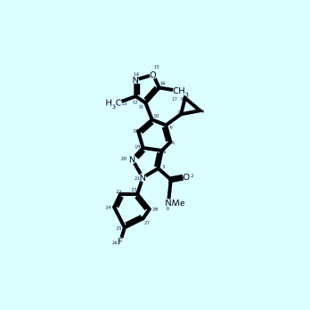 CNC(=O)c1c2cc(C3CC3)c(-c3c(C)noc3C)cc2nn1-c1ccc(F)cc1